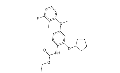 CCOC(=O)Nc1ccc(N(C)c2cccc(F)c2C)cc1OC1CCCC1